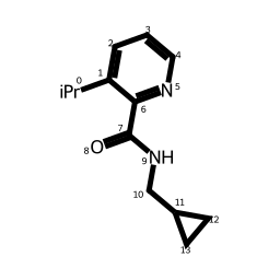 CC(C)c1cccnc1C(=O)NCC1CC1